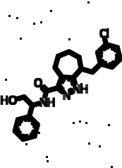 O=C(NC(CO)c1ccccc1)c1n[nH]c2c1CCCCC2Cc1cccc(Cl)c1